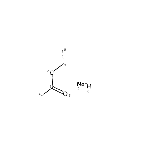 CCOC(C)=O.[H-].[Na+]